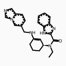 CCN(C(=O)c1nc2ccccc2[nH]1)[C@@H]1C=C(NCc2ccc3cncn3c2)CCC1